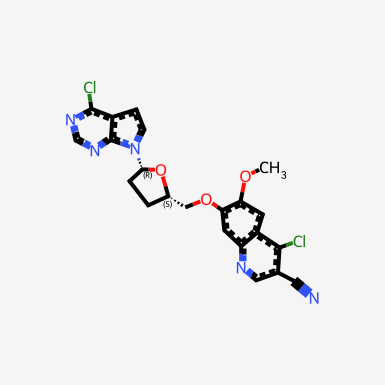 COc1cc2c(Cl)c(C#N)cnc2cc1OC[C@@H]1CC[C@H](n2ccc3c(Cl)ncnc32)O1